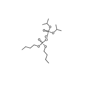 CC(C)OP(=O)(Cl)OC(C)C.CCCCOP(=O)(Cl)OCCCC